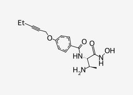 CCC#CCOc1ccc(C(=O)N[C@H](C(=O)NO)[C@@H](C)N)cc1